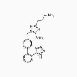 CCCCCCc1nc(CCCN)nn1Cc1ccc(-c2ccccc2-c2nnn[nH]2)cc1